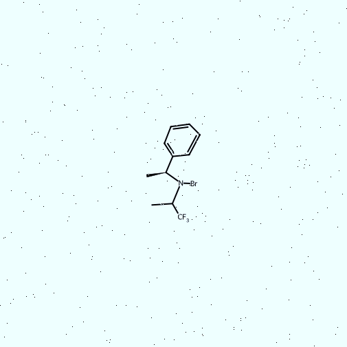 CC(N(Br)[C@@H](C)c1ccccc1)C(F)(F)F